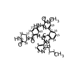 CCCCc1ncccc1C(=O)Nc1cccc(-c2cn(C)c(=O)c(Nc3ccc(C(=O)N4CCNC(=O)C4)cc3)n2)c1C